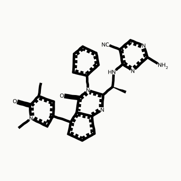 Cc1cc(-c2cccc3nc([C@H](C)Nc4nc(N)ncc4C#N)n(-c4ccccc4)c(=O)c23)cn(C)c1=O